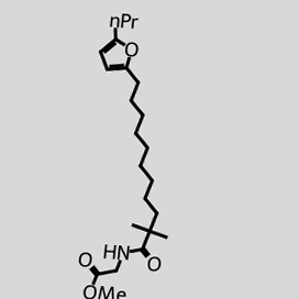 CCCc1ccc(CCCCCCCCCC(C)(C)C(=O)NCC(=O)OC)o1